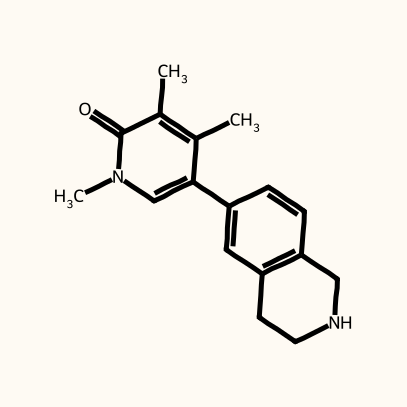 Cc1c(-c2ccc3c(c2)CCNC3)cn(C)c(=O)c1C